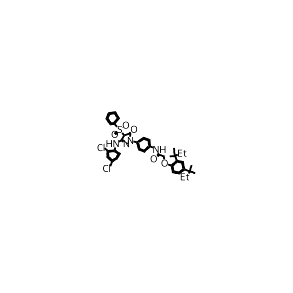 CCC(C)(C)c1ccc(OCC(=O)Nc2ccc(N3N=C(Nc4ccc(Cl)cc4Cl)C(S(=O)(=O)c4ccccc4)C3=O)cc2)c(C(C)(C)CC)c1